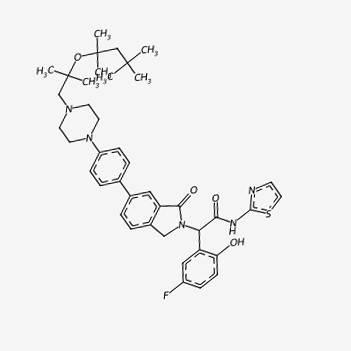 CC(C)(C)CC(C)(C)OC(C)(C)CN1CCN(c2ccc(-c3ccc4c(c3)C(=O)N(C(C(=O)Nc3nccs3)c3cc(F)ccc3O)C4)cc2)CC1